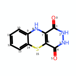 O=c1[nH][nH]c(=O)c2c1Nc1ccccc1S2